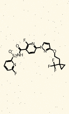 O=C(N[S@+]([O-])c1cccc(F)n1)c1ccc(-n2ccc(OCCC3(C(F)(F)F)CC3)n2)nc1F